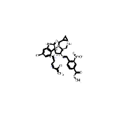 C=C(Cl)/C=C\C=C(/F)[C@H]1[C@H](/N=C/c2ccc(C(=O)OC)cc2[N+](=O)[O-])[C@H](CO)N(CC2CC2)[C@@]12C(=O)Nc1cc(Cl)ccc12